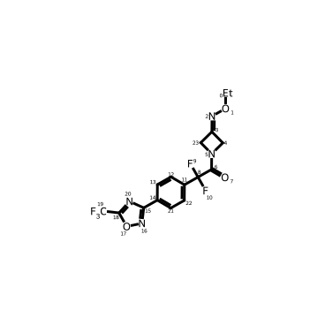 CCON=C1CN(C(=O)C(F)(F)c2ccc(-c3noc(C(F)(F)F)n3)cc2)C1